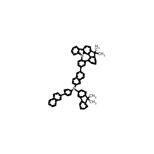 CC1(C)c2ccccc2-c2cc(N(c3ccc(-c4ccc5ccccc5c4)cc3)c3ccc4cc(-c5ccc6c(c5)-c5cccc7c5-c5c(ccc8c9ccccc9n-6c58)C7(C)C)ccc4c3)ccc21